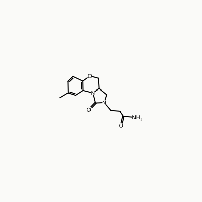 Cc1ccc2c(c1)N1C(=O)N(CCC(N)=O)CC1CO2